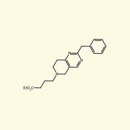 CCOC(=O)CCCN1CCc2nc(Cc3ccccc3)ncc2C1